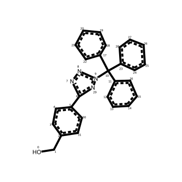 OCc1ccc(-c2nnn(C(c3ccccc3)(c3ccccc3)c3ccccc3)n2)cc1